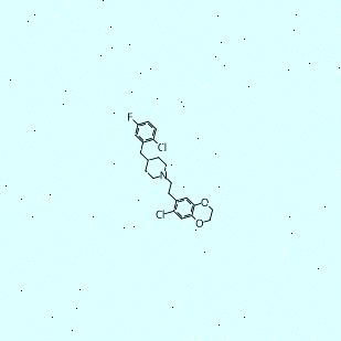 Fc1ccc(Cl)c(CC2CCN(CCc3cc4c(cc3Cl)OCCO4)CC2)c1